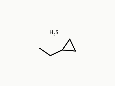 CCC1CC1.S